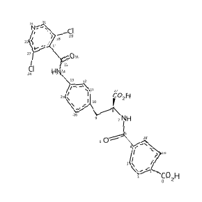 O=C(O)c1ccc(C(=O)N[C@@H](Cc2ccc(NC(=O)c3c(Cl)cncc3Cl)cc2)C(=O)O)cc1